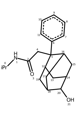 CC(C)NC(=O)CC1(c2ccccc2)C2CC3CC1CC(C2)C3O